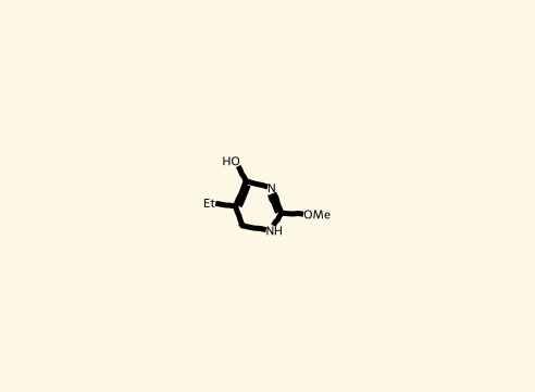 CCC1=C(O)N=C(OC)N[CH]1